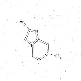 CC(=O)c1cn2ccc(C(F)(F)F)cc2n1